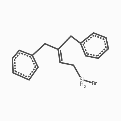 Br[SiH2]CC=C(Cc1ccccc1)Cc1ccccc1